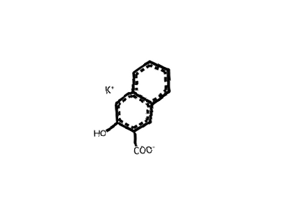 O=C([O-])c1cc2ccccc2cc1O.[K+]